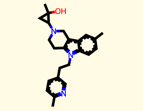 Cc1ccc2c(c1)c1c(n2CCc2ccc(C)nc2)CCN(C2CC2(C)O)C1